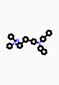 c1ccc(-c2ccc(N(c3ccc(-c4cccc(-c5cccc6c5nc(-c5ccccc5)n6-c5ccccc5)c4)cc3)c3ccc4ccccc4c3)cc2)cc1